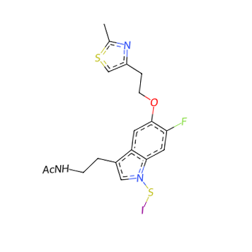 CC(=O)NCCc1cn(SI)c2cc(F)c(OCCc3csc(C)n3)cc12